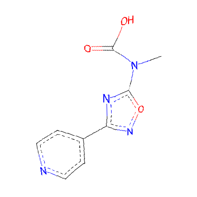 CN(C(=O)O)c1nc(-c2ccncc2)no1